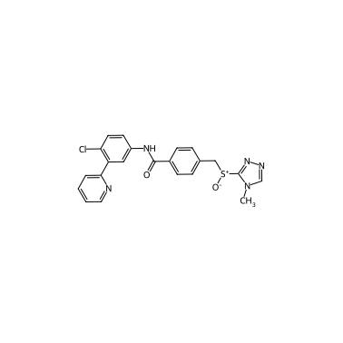 Cn1cnnc1[S+]([O-])Cc1ccc(C(=O)Nc2ccc(Cl)c(-c3ccccn3)c2)cc1